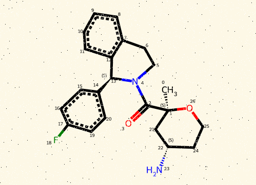 C[C@@]1(C(=O)N2CCc3ccccc3[C@@H]2c2ccc(F)cc2)C[C@@H](N)CCO1